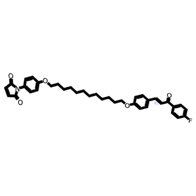 O=C(/C=C/c1ccc(OCCCCCCCCCCCCOc2ccc(N3C(=O)C=CC3=O)cc2)cc1)c1ccc(F)cc1